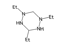 CCC1NN(CC)CN(CC)N1